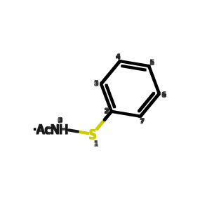 CC(=O)[N]Sc1ccccc1